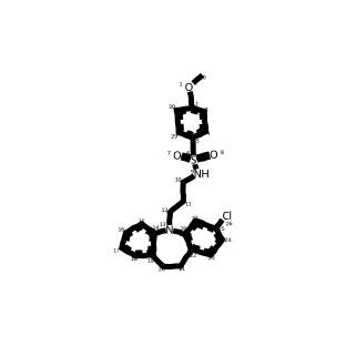 COc1ccc(S(=O)(=O)NCCCN2c3ccccc3CCc3ccc(Cl)cc32)cc1